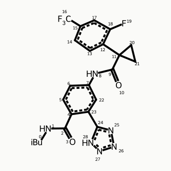 CCC(C)NC(=O)c1ccc(NC(=O)C2(c3ccc(C(F)(F)F)cc3F)CC2)cc1-c1nnn[nH]1